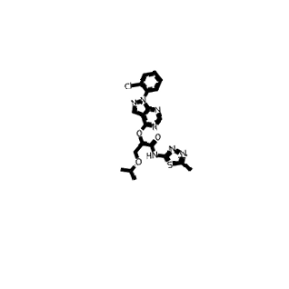 Cc1nnc(NC(=O)C(COC(C)C)Oc2ncnc3c2cnn3-c2ccccc2Cl)s1